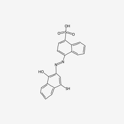 O=S(=O)(O)c1ccc(N=Nc2cc(S)c3ccccc3c2O)c2ccccc12